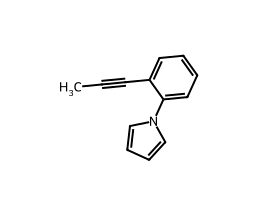 CC#Cc1ccccc1-n1cccc1